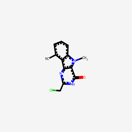 Cn1c2cccc(C#N)c2c2nc(CCl)[nH]c(=O)c21